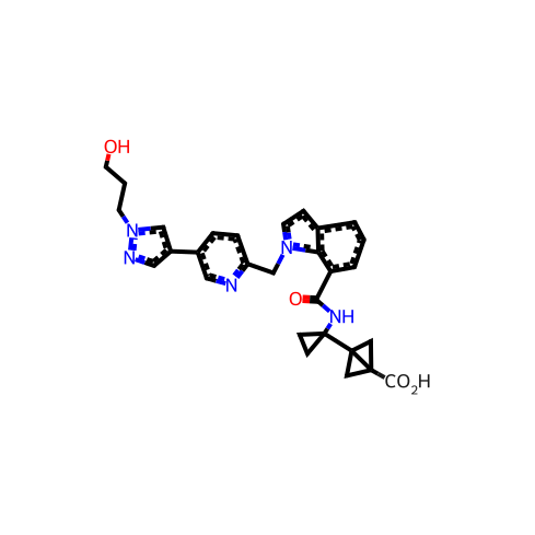 O=C(NC1(C23CC2(C(=O)O)C3)CC1)c1cccc2ccn(Cc3ccc(-c4cnn(CCCO)c4)cn3)c12